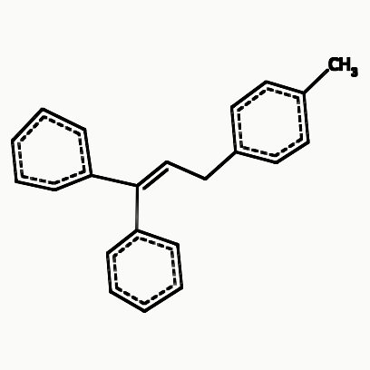 Cc1ccc(CC=C(c2ccccc2)c2ccccc2)cc1